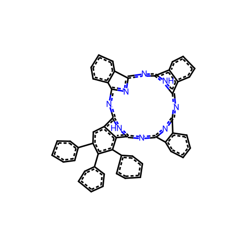 c1ccc(-c2cc3c4nc5nc(nc6[nH]c(nc7nc(nc([nH]4)c3c(-c3ccccc3)c2-c2ccccc2)-c2ccccc2-7)c2ccccc62)-c2ccccc2-5)cc1